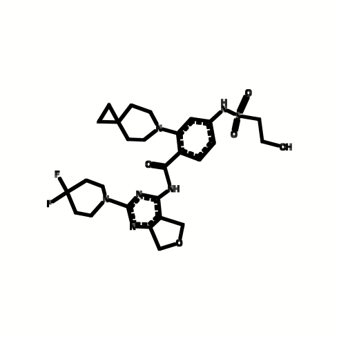 O=C(Nc1nc(N2CCC(F)(F)CC2)nc2c1COC2)c1ccc(NS(=O)(=O)CCO)cc1N1CCC2(CC1)CC2